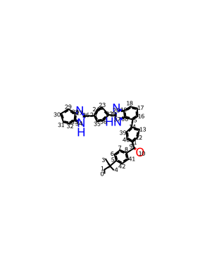 CCC(C)(C)c1ccc(C(=O)c2ccc(-c3cccc4nc(-c5ccc(-c6nc7ccccc7[nH]6)cc5)[nH]c34)cc2)cc1